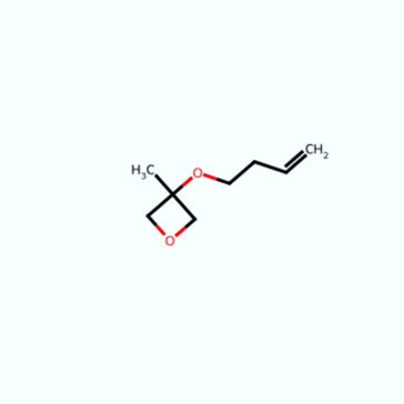 C=CCCOC1(C)COC1